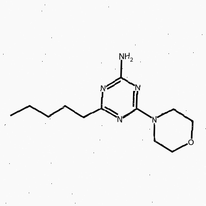 CCCCCc1nc(N)nc(N2CCOCC2)n1